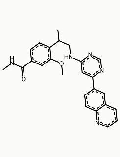 CNC(=O)c1ccc(C(C)CNc2cc(-c3ccc4ncccc4c3)ncn2)c(OC)c1